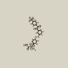 CC(C)(Oc1ccc(CCc2cccc(NC(=O)c3ccc(C(F)(F)F)cc3)c2)cc1)C(=O)O